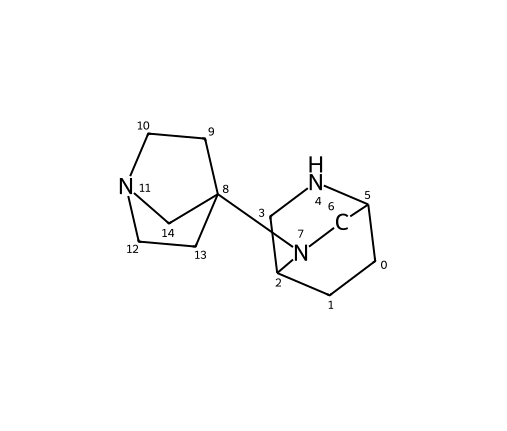 C1CC2CNC1CN2C12CCN(CC1)C2